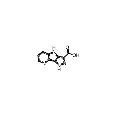 O=C(O)c1n[nH]c2c1[nH]c1cccnc12